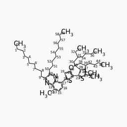 CCCCCCCCCCc1nc2c(C)ccc(-c3cc4c(s3)-c3sc(C)cc3C(CC(CC)CCCC)(CC(CC)CCCC)O4)c2nc1CCCCCCCCCC